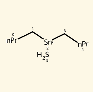 CCC[CH2][Sn][CH2]CCC.S